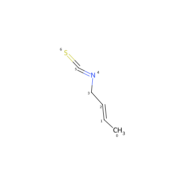 CC=CCN=C=S